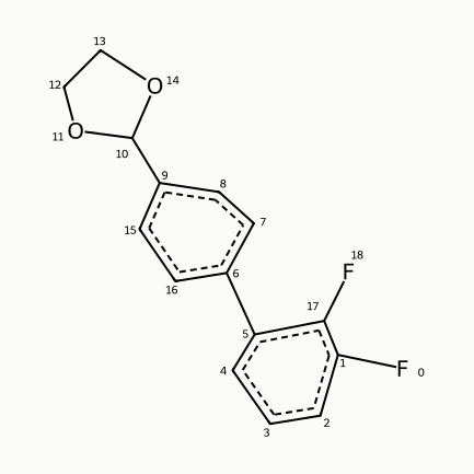 Fc1cccc(-c2ccc(C3OCCO3)cc2)c1F